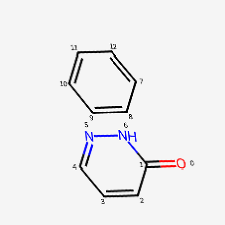 O=c1cccn[nH]1.c1ccccc1